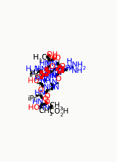 CC(C)C[C@@H](NC(=O)[C@@H](Cc1c[nH]cn1)NC(=O)[C@@H](CO)NC(=O)[C@@H](C)NC(=O)[C@@H](Cc1c[nH]cn1)NC(=O)[C@@H](CCCNC(=N)N)NC(=O)[C@@H](CO)NC(=O)[C@H](NC(=O)[C@@H](Cc1c[nH]cn1)NC(=O)[C@H](N)C(C)C)[C@H](C)O)C(=O)N[C@@H](C(=O)N[C@H](C)C(=O)O)[C@H](C)O